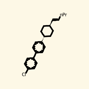 CCCC=C[C@H]1CC[C@H](c2ccc(-c3ccc(Cl)cc3)cc2)CC1